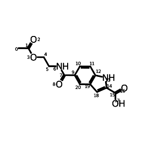 CC(=O)OCCNC(=O)c1ccc2[nH]c(C(=O)O)cc2c1